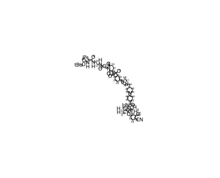 CC(C)[C@H](NC(=O)OC(C)(C)C)C(=O)NCCNC(=O)OCN1C(=O)CCC(N2C(=O)c3ccc(N4CCN(CC5CCN(c6ccc(C(=O)NC7C(C)(C)C(Oc8ccc(C#N)c(Cl)c8)C7(C)C)cc6)CC5)CC4)cc3C2=O)C1=O